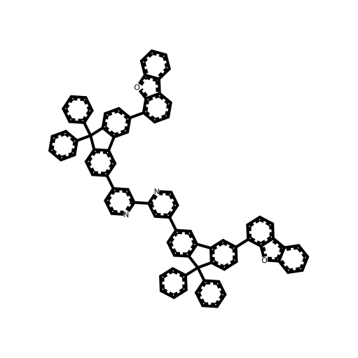 c1ccc(C2(c3ccccc3)c3ccc(-c4ccnc(-c5cc(-c6ccc7c(c6)-c6cc(-c8cccc9c8oc8ccccc89)ccc6C7(c6ccccc6)c6ccccc6)ccn5)c4)cc3-c3cc(-c4cccc5c4oc4ccccc45)ccc32)cc1